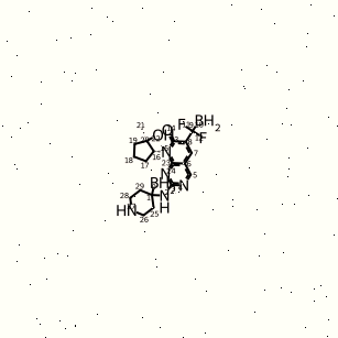 BC1(Nc2ncc3cc(C(B)(F)F)c(=O)n([C@@H]4CCC[C@@]4(C)O)c3n2)CCNCC1